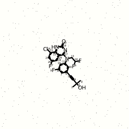 CC(C)(O)C#Cc1cc(F)cc(N(CC(F)F)c2nc(=O)[nH]c3c(Cl)cc(F)cc23)c1